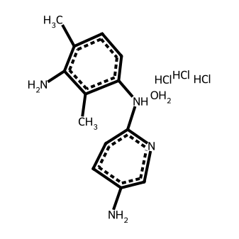 Cc1ccc(Nc2ccc(N)cn2)c(C)c1N.Cl.Cl.Cl.O